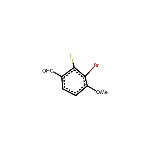 COc1ccc(C=O)c(F)c1Br